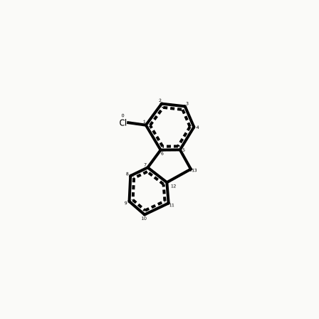 Clc1cccc2c1-c1ccccc1[CH]2